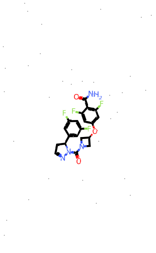 NC(=O)c1c(F)cc(OC2CN(C(=O)N3N=CCC3c3cc(F)cc(F)c3)C2)cc1F